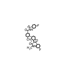 CNC(=O)c1c(-c2ccc(F)cc2)oc2ccc(-c3cc(C(=O)NC4(c5ccc(F)cc5)CC4)ccc3C)cc12